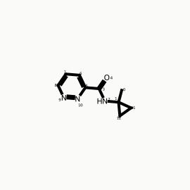 CC1(NC(=O)c2cccnn2)CC1